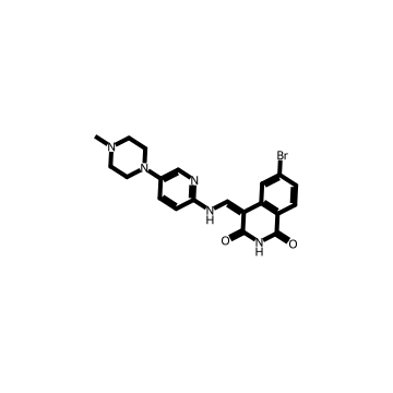 CN1CCN(c2ccc(NC=C3C(=O)NC(=O)c4ccc(Br)cc43)nc2)CC1